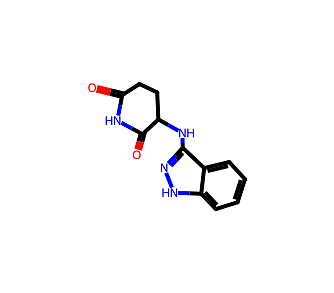 O=C1CCC(Nc2n[nH]c3ccccc23)C(=O)N1